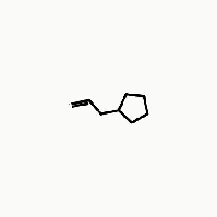 [CH]=CCC1CCCC1